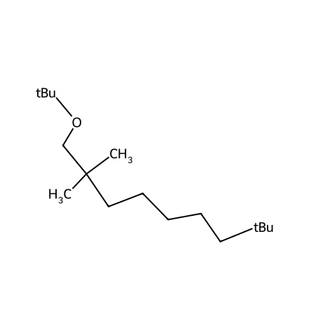 CC(C)(C)CCCCCC(C)(C)COC(C)(C)C